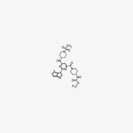 COC(=O)NC1CCN(C(=O)c2cc(NC3CCN(S(C)(=O)=O)CC3)nc(-c3cnn4ccsc34)n2)CC1